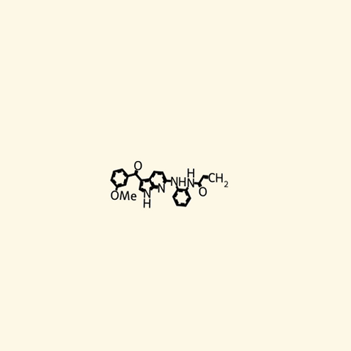 C=CC(=O)Nc1ccccc1Nc1ccc2c(C(=O)c3cccc(OC)c3)c[nH]c2n1